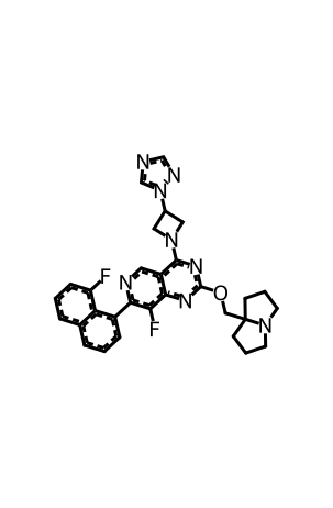 Fc1c(-c2cccc3cccc(F)c23)ncc2c(N3CC(n4cncn4)C3)nc(OCC34CCCN3CCC4)nc12